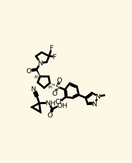 Cn1cc(-c2ccc(S(=O)(=O)[C@@H]3CC[C@@H](C(=O)N4CCC(F)(F)C4)C3)c(Cl)c2)cn1.N#CC1(NC(=O)O)CC1